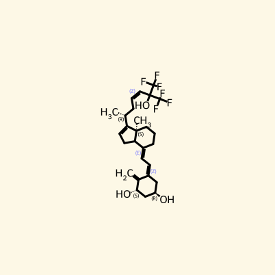 C=C1/C(=C\C=C2/CCC[C@]3(C)C([C@H](C)C/C=C\C(O)(C(F)(F)F)C(F)(F)F)=CCC23)C[C@@H](O)C[C@@H]1O